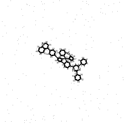 c1ccc(-c2cc(-c3ccc4c(c3)C3(c5ccccc5Sc5ccccc53)c3cc(-c5ccc(-c6ccnc7ccccc67)cc5)ccc3-4)nc(-c3ccccc3)n2)cc1